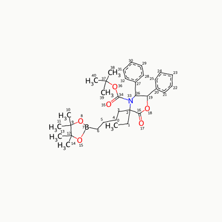 CCC1(CCCCB2OC(C)(C)C(C)(C)O2)C(=O)OC(c2ccccc2)C(c2ccccc2)N1C(=O)OC(C)(C)C